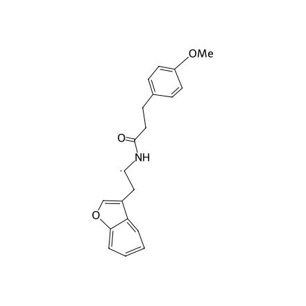 COc1ccc(CCC(=O)N[CH]Cc2coc3ccccc23)cc1